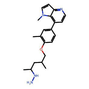 Cc1cc(-c2ccnc3ccn(C)c23)ccc1OCC(C)CC(C)NN